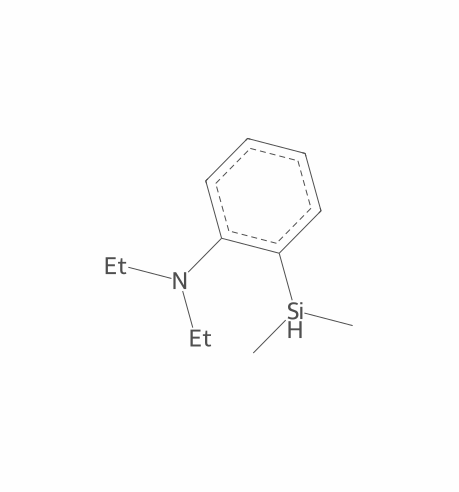 CCN(CC)c1ccccc1[SiH](C)C